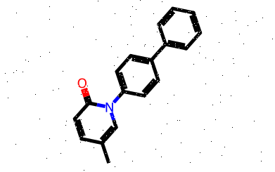 Cc1ccc(=O)n(-c2ccc(-c3ccccc3)cc2)c1